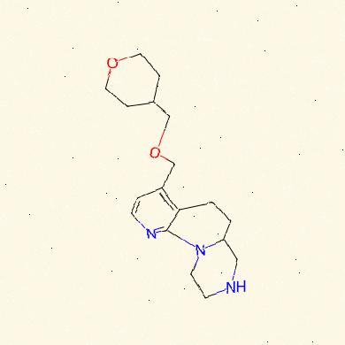 c1cc(COCC2CCOCC2)c2c(n1)N1CCNCC1CC2